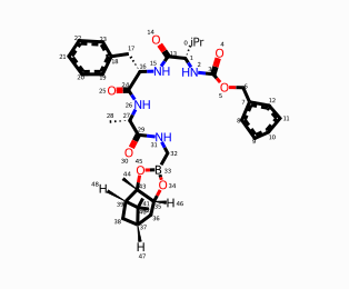 CC(C)[C@H](NC(=O)OCc1ccccc1)C(=O)N[C@@H](Cc1ccccc1)C(=O)N[C@@H](C)C(=O)NCB1O[C@@H]2C[C@@H]3C[C@@H](C3(C)C)[C@]2(C)O1